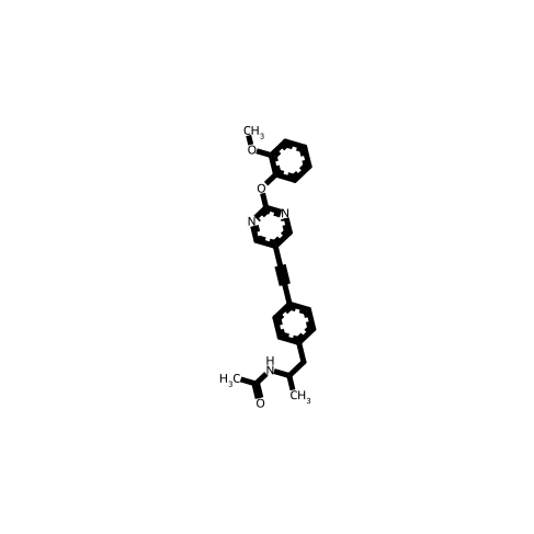 COc1ccccc1Oc1ncc(C#Cc2ccc(CC(C)NC(C)=O)cc2)cn1